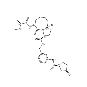 CN[C@@H](C)C(=O)N[C@H]1CCCC[C@H]2CC[C@@H](C(=O)NCc3cccc(NC(=O)[C@H]4CCC(=O)O4)c3)N2C1=O